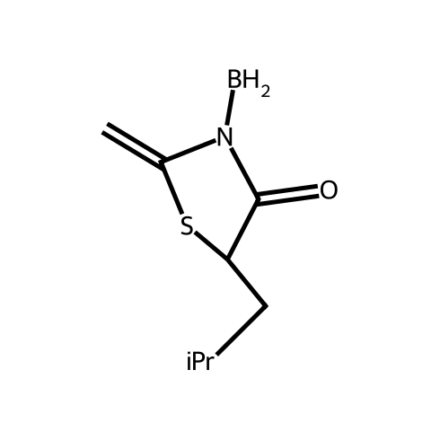 BN1C(=C)SC(CC(C)C)C1=O